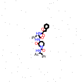 CC(=O)[C@H](CC(C)C)NC(=O)N1CCCC(NC(=O)[C@H](CC(C)C)NC(=O)c2cc3ccccc3o2)C(=O)C1